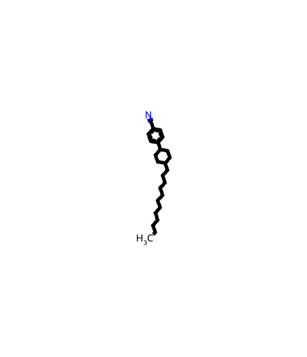 CCCCCCCCCCCCC1CCC(c2ccc(C#N)cc2)CC1